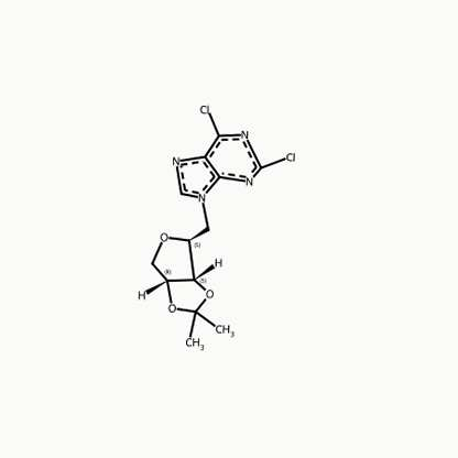 CC1(C)O[C@H]2[C@H](Cn3cnc4c(Cl)nc(Cl)nc43)OC[C@H]2O1